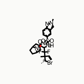 C=CC(C)([C@@H](C)Br)C(F)(F)C(NS(=O)(=O)c1ccc2nn(C)cc2c1)C(=O)N1C2CCC1CC(N)C2